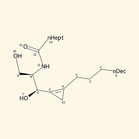 CCCCCCCCCCCCCC1=C([C@@H](O)[C@@H](CO)NC(=O)CCCCCCC)C1